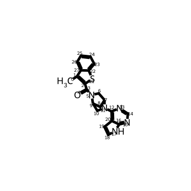 Cc1c(C(=O)N2CC3CC2CN3c2ncnc3[nH]ccc23)sc2ccccc12